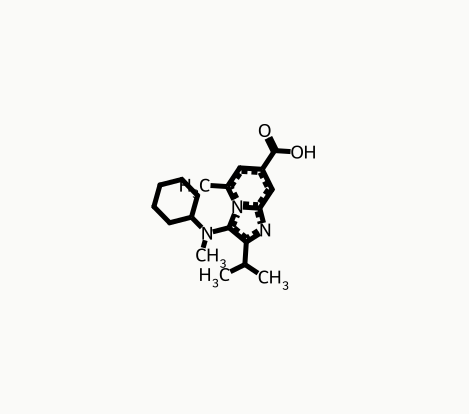 Cc1cc(C(=O)O)cc2nc(C(C)C)c(N(C)C3CCCCC3)n12